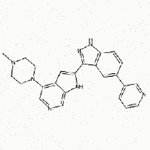 CN1CCN(c2cncc3[nH]c(-c4n[nH]c5ccc(-c6cccnc6)cc45)cc23)CC1